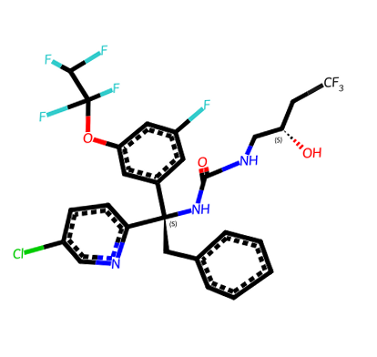 O=C(NC[C@@H](O)CC(F)(F)F)N[C@@](Cc1ccccc1)(c1cc(F)cc(OC(F)(F)C(F)F)c1)c1ccc(Cl)cn1